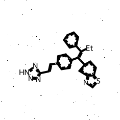 CC/C(=C(/c1ccc(/C=C/c2nn[nH]n2)cc1)c1ccc2scnc2c1)c1ccccc1